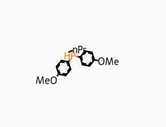 CCCC.COc1ccc(Pc2ccc(OC)cc2)cc1